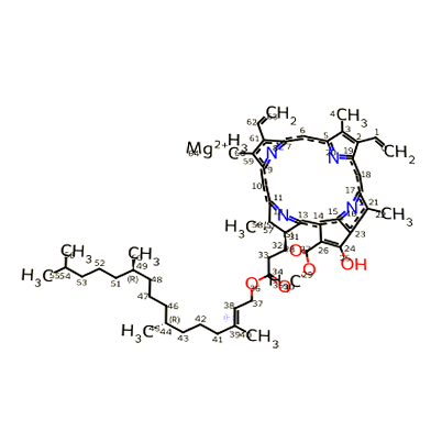 C=CC1=C(C)c2cc3[n-]c(cc4nc(c5c6[n-]c(cc1n2)c(C)c6C(O)=C5C(=O)OC)[C@@H](CCC(=O)OC/C=C(\C)CCC[C@H](C)CCC[C@H](C)CCCC(C)C)[C@@H]4C)c(C)c3C=C.[Mg+2]